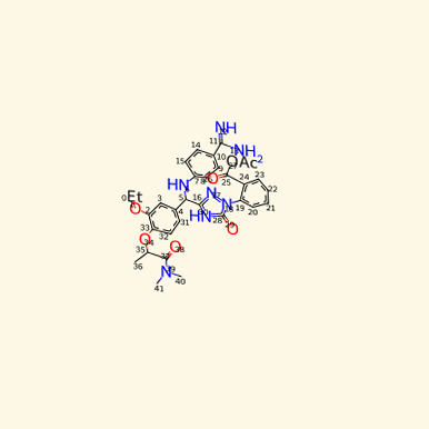 CCOc1cc(C(Nc2ccc(C(=N)N)cc2)c2nn(-c3ccccc3C(=O)OC(C)=O)c(=O)[nH]2)ccc1OC(C)C(=O)N(C)C